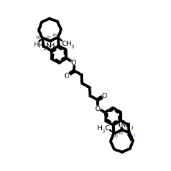 C[C@@]12CCCC/C=C(/Cc3ccc(OC(=O)CCCCC(=O)Oc4ccc5c(c4)[C@@]4(C)CCCCC[C@@H](C5)[C@@H]4N)cc31)[C@@H]2N